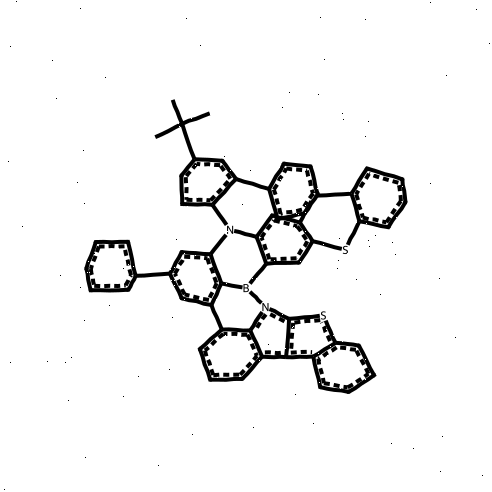 CC(C)(C)c1ccc(N2c3cc4c(cc3B3c5c(cc(-c6ccccc6)cc52)-c2cccc5c6c7ccccc7sc6n3c25)Sc2ccccc2S4)c(-c2ccccc2)c1